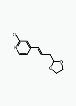 Clc1cc(C=CC[C]2OCCO2)ccn1